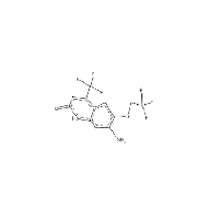 Nc1cc2[nH]c(=O)cc(C(F)(F)F)c2cc1OCC(F)(F)F